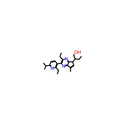 CCc1nc(C(C)C)ccc1-c1nc2c(nc1CC)C(C(CC)CO)C=C2C